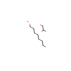 CC(O)CO.CCCCCCCCOC